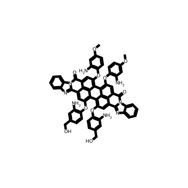 COc1ccc(Oc2cc3c(=O)n4c5ccccc5nc4c4cc(Oc5ccc(CO)cc5N)c5c6c(Oc7ccc(CO)cc7N)cc7c8c(cc(Oc9ccc(OC)cc9N)c(c2c5c34)c68)c(=O)n2c3ccccc3nc72)c(N)c1